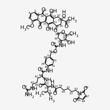 COc1cccc2c1C(=O)c1c(O)c3c(c(O)c1C2=O)C[C@@](O)(C(C)=O)C[C@@H]3O[C@H]1C[C@H](NC(=O)OCc2ccc(NC(=O)[C@H](CCCNC(N)=O)NC(=O)[C@@H](NC(=O)CCCCCN3C(=O)C=CC3=O)C(C)C)cc2)[C@H](O)[C@H](C)O1